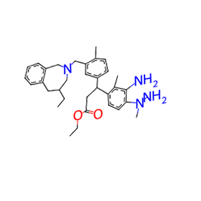 CCOC(=O)CC(c1ccc(C)c(CN2Cc3ccccc3CC(CC)C2)c1)c1ccc(N(C)N)c(N)c1C